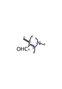 C=C(C)/C(C=O)=C(/C)N(C)C